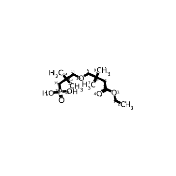 CCOC(=O)CC(C)(C)COCC(C)(C)CP(=O)(O)O